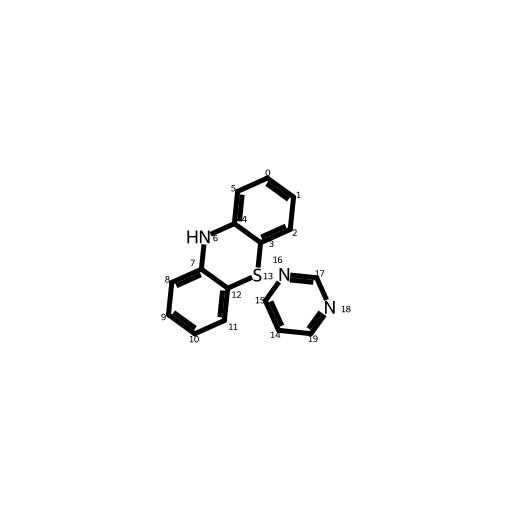 c1ccc2c(c1)Nc1ccccc1S2.c1cncnc1